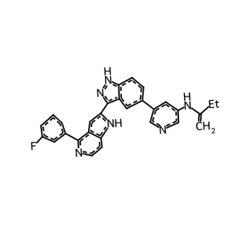 C=C(CC)Nc1cncc(-c2ccc3[nH]nc(-c4cc5c(-c6cccc(F)c6)nccc5[nH]4)c3c2)c1